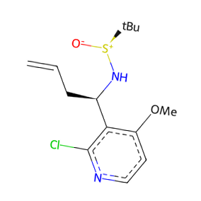 C=CC[C@@H](N[S@@+]([O-])C(C)(C)C)c1c(OC)ccnc1Cl